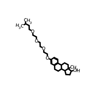 CC(C)CCOCCOCCOCCOc1ccc2c(c1)CCC1C2CCC2(C)C(O)CCC12